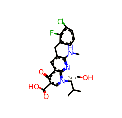 CNc1nc2c(cc1Cc1cccc(Cl)c1F)c(=O)c(C(=O)O)cn2[C@H](CO)C(C)C